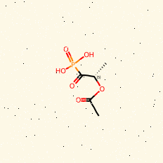 CC(=O)O[C@@H](C)C(=O)P(=O)(O)O